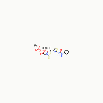 CCOC(=O)C(=C1SC(=S)N(CC(=O)OC(C)OC(=O)OC(C)C)C1=O)c1csc(NC(=O)Nc2ccccc2)n1